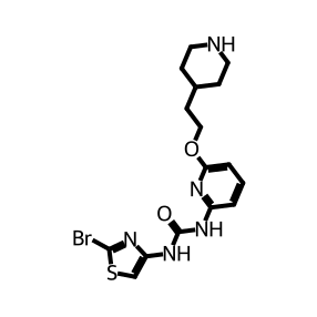 O=C(Nc1cccc(OCCC2CCNCC2)n1)Nc1csc(Br)n1